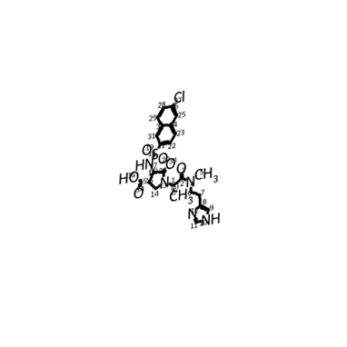 C[C@@H](C(=O)N(C)CCc1c[nH]cn1)N1CC[C@H](NS(=O)(=O)c2ccc3cc(Cl)ccc3c2)C1=O.O=CO